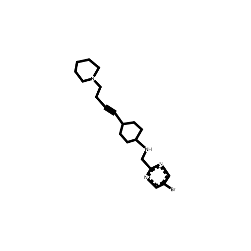 Brc1cnc(CNC2CCC(C#CCCN3CCCCC3)CC2)nc1